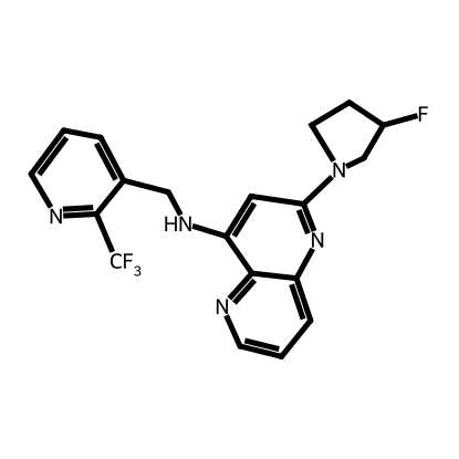 FC1CCN(c2cc(NCc3cccnc3C(F)(F)F)c3ncccc3n2)C1